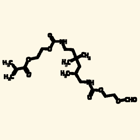 C=C(C)C(=O)OCCOC(=O)NCCC(C)(C)CC(C)CNC(=O)OCCOC=O